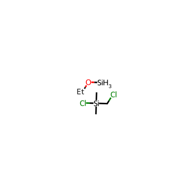 CCO[SiH3].C[Si](C)(Cl)CCl